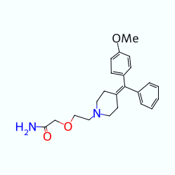 COc1ccc(C(=C2CCN(CCOCC(N)=O)CC2)c2ccccc2)cc1